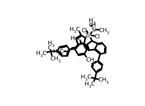 CCCCC(C)C1=Cc2c(-c3ccc(C(C)(C)C)cc3)cccc2[CH]1[Zr]([Cl])([Cl])([CH]1C(C)=Cc2c(-c3ccc(C(C)(C)C)cc3)cc(C)cc21)[SiH](C)C